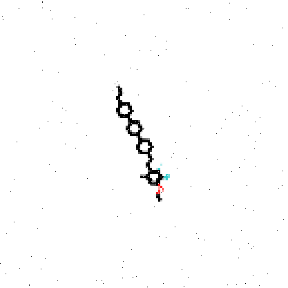 CCCC1CCC(C2CCC(C3CCC(CCc4c(C)cc(OCC)c(F)c4F)CC3)CC2)CC1